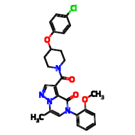 COc1ccccc1-n1cc(C)n2ncc(C(=O)N3CCC(Oc4ccc(Cl)cc4)CC3)c2c1=O